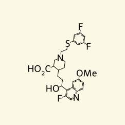 COc1ccc2ncc(F)c(C(O)CCC3CCN(CCSc4cc(F)cc(F)c4)CC3C(=O)O)c2c1